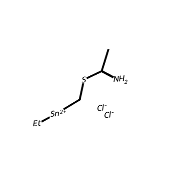 C[CH2][Sn+2][CH2]SC(C)N.[Cl-].[Cl-]